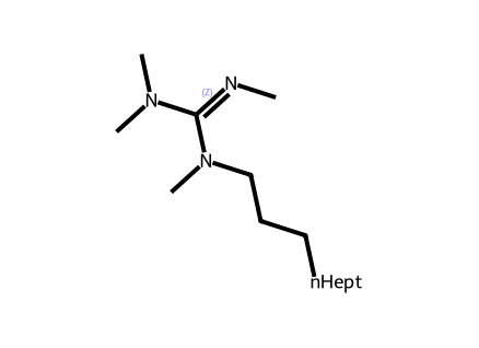 CCCCCCCCCCN(C)/C(=N\C)N(C)C